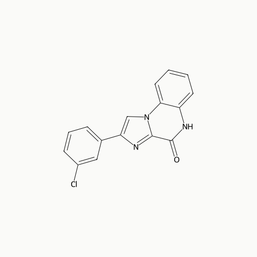 O=c1[nH]c2ccccc2n2cc(-c3cccc(Cl)c3)nc12